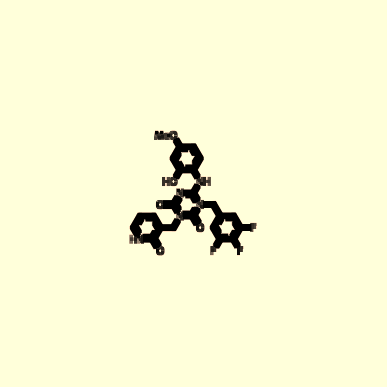 COc1ccc(Nc2nc(=O)n(Cc3ccc[nH]c3=O)c(=O)n2Cc2cc(F)c(F)c(F)c2)c(O)c1